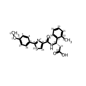 COc1ccc(-c2nc(C(=O)N[C@@H](CC(=O)O)c3ccccc3C)cs2)cc1